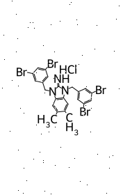 Cc1cc2c(cc1C)n(Cc1cc(Br)cc(Br)c1)c(=N)n2Cc1cc(Br)cc(Br)c1.Cl